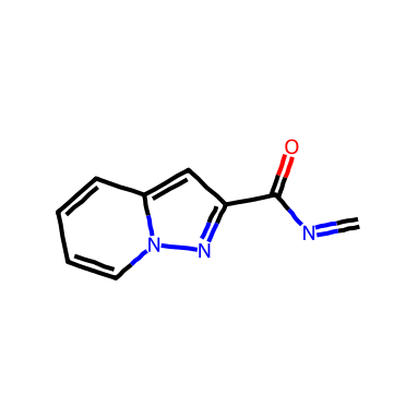 C=NC(=O)c1cc2ccccn2n1